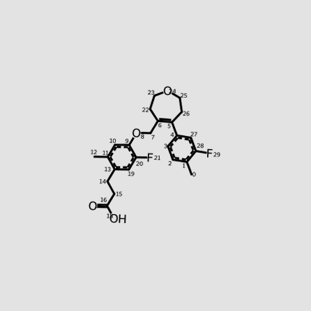 Cc1ccc(C2=C(COc3cc(C)c(CCC(=O)O)cc3F)CCOCC2)cc1F